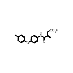 C=C(CC(=O)O)C(=O)Nc1ccc(Oc2ccc(C)cc2)cc1